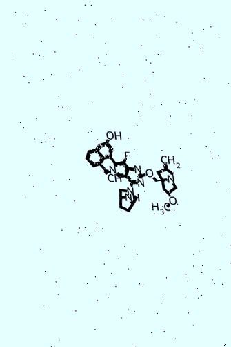 C#Cc1cccc2cc(O)cc(-c3ncc4c(N5CC6CCC(C5)N6)nc(OC[C@@]56CC(=C)CN5C[C@@H](OC)C6)nc4c3F)c12